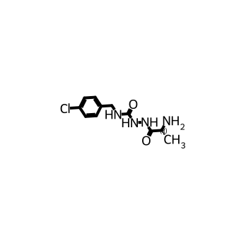 C[C@@H](N)C(=O)NNC(=O)NCc1ccc(Cl)cc1